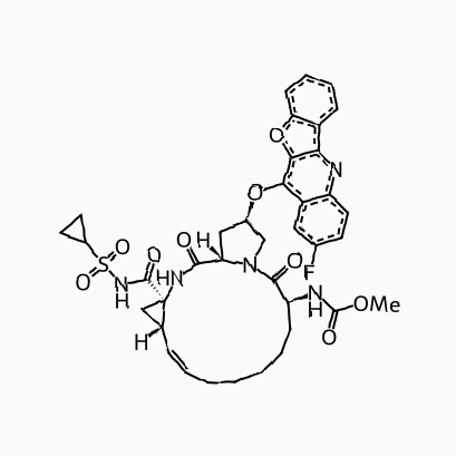 COC(=O)N[C@H]1CCCCC/C=C\[C@@H]2C[C@@]2(C(=O)NS(=O)(=O)C2CC2)NC(=O)[C@@H]2C[C@@H](Oc3c4cc(F)ccc4nc4c3oc3ccccc34)CN2C1=O